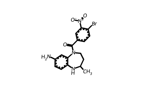 CC1CCN(C(=O)c2ccc(Br)c([N+](=O)[O-])c2)c2cc(N)ccc2N1